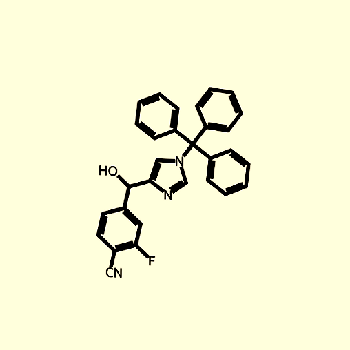 N#Cc1ccc(C(O)c2cn(C(c3ccccc3)(c3ccccc3)c3ccccc3)cn2)cc1F